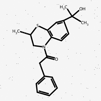 CC1CN(C(=O)Cc2ccccc2)c2ccc(C(C)(C)O)cc2S1